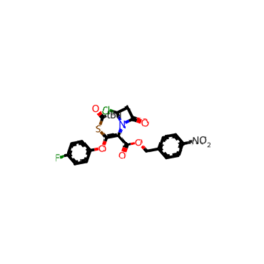 CC(C)(C)C(=O)SC(Oc1ccc(F)cc1)=C(C(=O)OCc1ccc([N+](=O)[O-])cc1)N1C(=O)CC1Cl